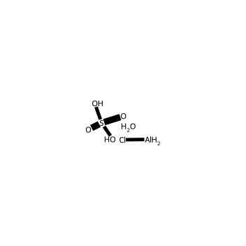 O.O=S(=O)(O)O.[AlH2][Cl]